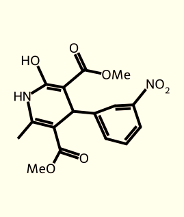 COC(=O)C1=C(C)NC(O)=C(C(=O)OC)C1c1cccc([N+](=O)[O-])c1